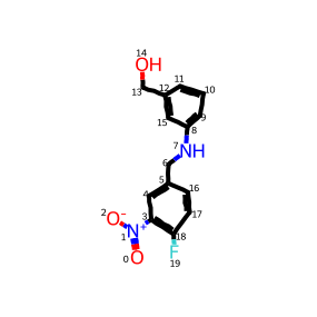 O=[N+]([O-])c1cc(CNc2cccc(CO)c2)ccc1F